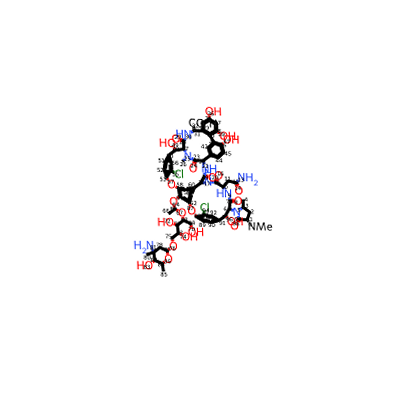 CNC1CC(C)N(C2C(=O)NC(CC(N)=O)C(=O)NC3C(=O)NC4C(=O)N(C)C(C(=O)NC(C(=O)O)c5cc(O)cc(O)c5-c5cc4ccc5O)C(O)c4ccc(c(Cl)c4)Oc4cc3cc(c4OC(C)OC(CO)C(O)C(O)COC3CC(C)(N)C(O)C(C)O3)Oc3ccc(cc3Cl)C2O)C1=O